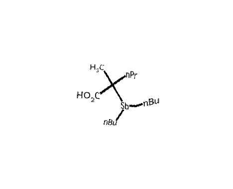 CCC[CH2][Sb]([CH2]CCC)[C](C)(CCC)C(=O)O